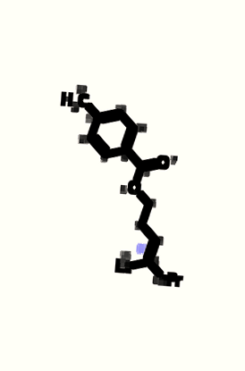 CCC/C(=C/CCOC(=O)c1ccc(C)cc1)CC